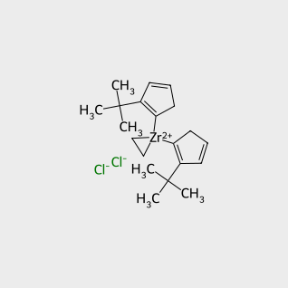 CC(C)(C)C1=[C]([Zr+2]2([C]3=C(C(C)(C)C)C=CC3)[CH2][CH2]2)CC=C1.[Cl-].[Cl-]